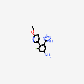 CCOc1ccc(-c2c(F)cc(N)cc2-c2nnn[nH]2)cn1